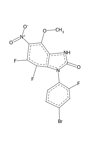 COc1c([N+](=O)[O-])c(F)c(F)c2c1[nH]c(=O)n2-c1ccc(Br)cc1F